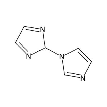 C1=NC(n2ccnc2)N=C1